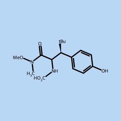 CON(C)C(=O)C(NC(=O)O)[C@H](c1ccc(O)cc1)C(C)(C)C